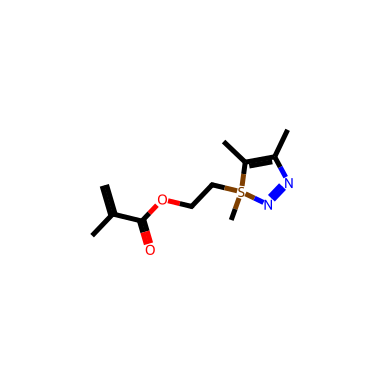 C=C(C)C(=O)OCCS1(C)N=NC(C)=C1C